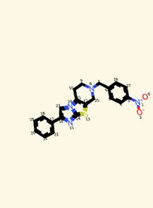 O=[N+]([O-])c1ccc(CN2CCc3c(sc4nc(-c5ccccc5)cn34)C2)cc1